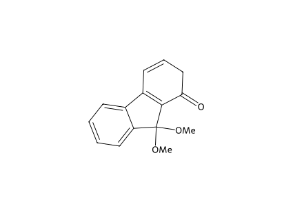 COC1(OC)C2=C(C=CCC2=O)c2ccccc21